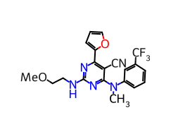 COCCNc1nc(-c2ccco2)c(C#N)c(N(C)c2cccc(C(F)(F)F)c2)n1